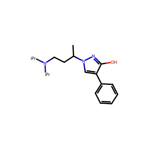 CC(C)N(CCC(C)n1cc(-c2ccccc2)c(O)n1)C(C)C